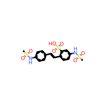 CS(=O)(=O)Nc1ccc(C=Cc2ccc(NS(C)(=O)=O)cc2S(=O)(=O)O)cc1